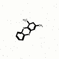 CC1=CC2=C(Sc3ccccc3S2)C(C)C1